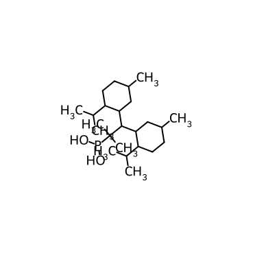 CC1CCC(C(C)C)C(C(C2CC(C)CCC2C(C)C)C(C)(C)P(O)O)C1